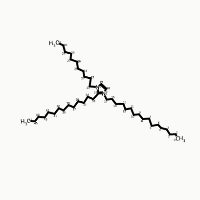 CCCCCCCCCCCCCCCCC[n+]1ccn(CCCCCCCCCCC)c1CCCCCCCCCCCCCC